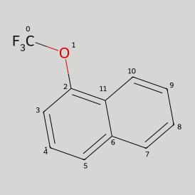 FC(F)(F)Oc1c[c]cc2ccccc12